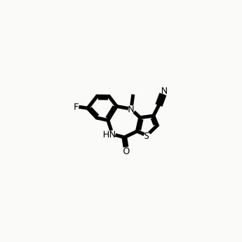 CN1c2ccc(F)cc2NC(=O)c2scc(C#N)c21